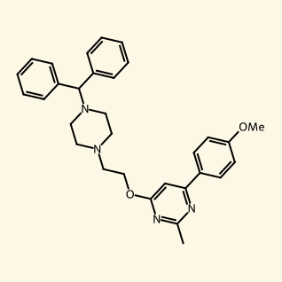 COc1ccc(-c2cc(OCCN3CCN(C(c4ccccc4)c4ccccc4)CC3)nc(C)n2)cc1